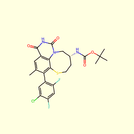 Cc1cc2c(=O)[nH]c(=O)n3c2c(c1-c1cc(Cl)c(F)cc1F)SCC[C@@H](NC(=O)OC(C)(C)C)C3